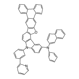 c1ccc(N(c2ccc3ccccc3c2)c2ccc3c(c2)c2c4oc5cc6c7ccccc7c7ccccc7c6cc5c4ccc2n3-c2cccc(-c3ccccn3)c2)cc1